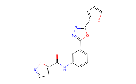 O=C(Nc1cccc(-c2nnc(-c3ccco3)o2)c1)c1ccno1